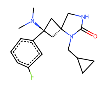 CN(C)[C@]1(c2cccc(F)c2)C[C@@]2(CNC(=O)N2CC2CC2)C1